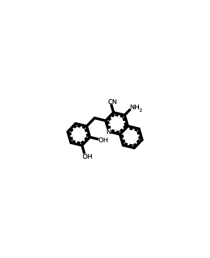 N#Cc1c(Cc2cccc(O)c2O)nc2ccccc2c1N